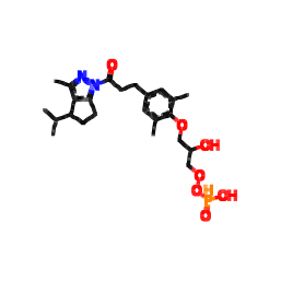 Cc1cc(CCC(=O)n2nc(C)c3c2CCC3C(C)C)cc(C)c1OCC(O)COO[PH](=O)O